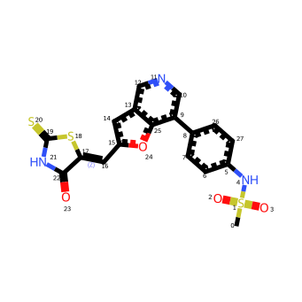 CS(=O)(=O)Nc1ccc(-c2cncc3cc(/C=C4\SC(=S)NC4=O)oc23)cc1